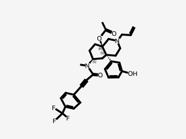 C=CCN1CC[C@@]2(c3cccc(O)c3)C[C@@H](N(C)C(=O)C#Cc3ccc(C(F)(F)F)cc3)CC[C@]2(OC(C)=O)C1